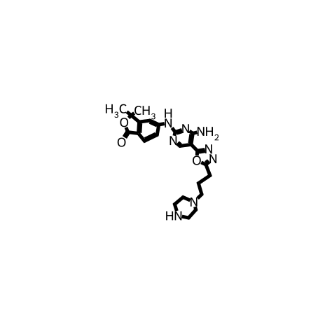 CC1(C)OC(=O)c2ccc(Nc3ncc(-c4nnc(CCCN5CCNCC5)o4)c(N)n3)cc21